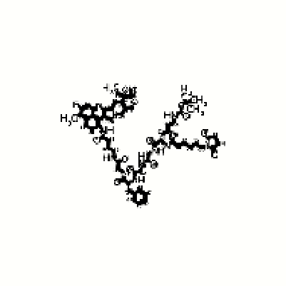 CC[C@@]1(O)C(=O)OCC2=C1C=C1c3nc4cc(F)c(C)c5c4c(c3CN1C2)[C@@H](NC(=O)CCCNC(=O)CNC(=O)[C@H](Cc1ccccc1)NC(=O)CNC(=O)CNC(=O)[C@H](CCCCNC(=O)OC(C)(C)C)NC(=O)CCCCCN1C(=O)C=CC1=O)CC5